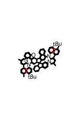 Cc1ccc(-c2cc(C)cnc2N(C2=CC3C(c4oc5ccccc5c42)c2c(cc(N(c4ccc(C(C)(C)C)cc4)c4ncc(C)cc4-c4ccc(C)cc4)c4ccccc24)C32c3ccccc3C3C=CC=CC32)c2ccc(C(C)(C)C)cc2)cc1